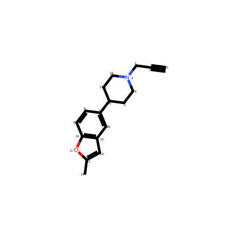 C#CCN1CCC(c2ccc3oc(C)cc3c2)CC1